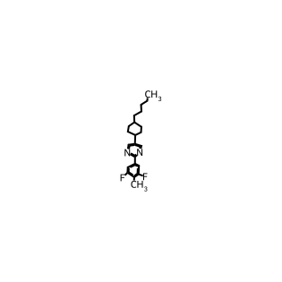 CCCCCC1CCC(c2cnc(-c3cc(F)c(C)c(F)c3)nc2)CC1